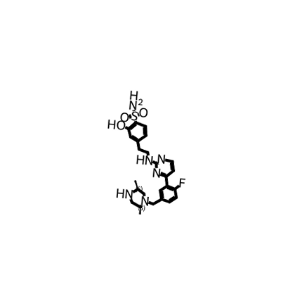 C[C@H]1CN(Cc2ccc(F)c(-c3ccnc(NCCc4ccc(S(N)(=O)=O)c(O)c4)n3)c2)[C@@H](C)CN1